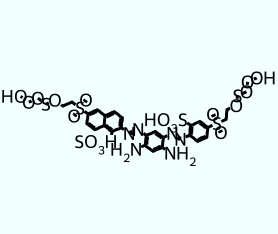 Nc1cc(N)c(/N=N/c2ccc3cc(S(=O)(=O)CCOSOOO)ccc3c2S(=O)(=O)O)cc1/N=N/c1ccc(S(=O)(=O)CCOSOOO)cc1S(=O)(=O)O